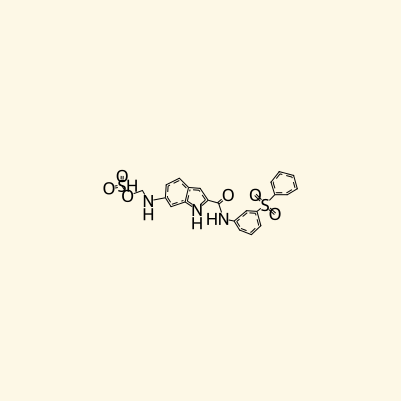 O=C(Nc1cccc(S(=O)(=O)c2ccccc2)c1)c1cc2ccc(NCO[SH](=O)=O)cc2[nH]1